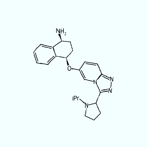 CC(C)N1CCCC1c1nnc2ccc(O[C@@H]3CC[C@H](N)c4ccccc43)cn12